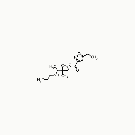 CCCNC(C)C(C)(C)CNC(=O)c1cc(CC)on1